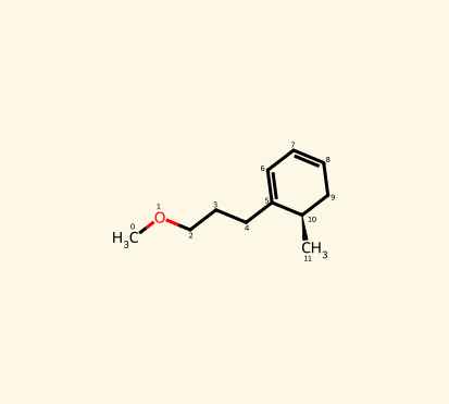 COCCCC1=CC=CC[C@H]1C